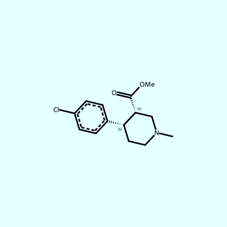 COC(=O)[C@@H]1CN(C)CC[C@@H]1c1ccc(Cl)cc1